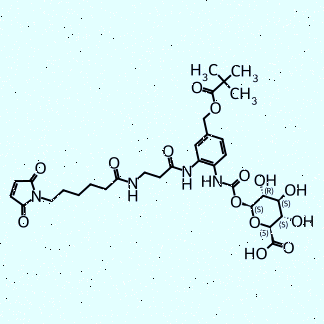 CC(C)(C)C(=O)OCc1ccc(NC(=O)O[C@@H]2O[C@H](C(=O)O)[C@@H](O)[C@H](O)[C@H]2O)c(NC(=O)CCNC(=O)CCCCCN2C(=O)C=CC2=O)c1